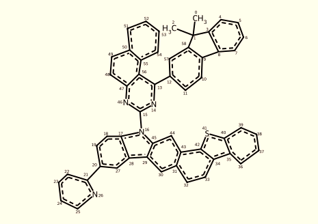 CC1(C)c2ccccc2-c2ccc(-c3nc(-n4c5ccc(-c6ccccn6)cc5c5cc6ccc7c8ccccc8sc7c6cc54)nc4ccc5ccccc5c34)cc21